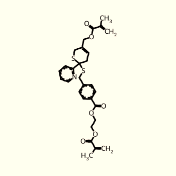 C=C(C)C(=O)OCCOC(=O)c1ccc(CSC2(c3ccccn3)CC=C(COC(=O)C(=C)C)CS2)cc1